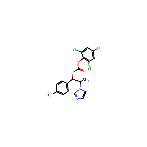 Cc1ccc(C(OC(=O)Oc2c(Cl)cc(Cl)cc2Cl)C(C)n2ccnc2)cc1